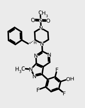 Cn1nc(-c2c(F)cc(F)c(O)c2F)c2cnc(N3CCN(S(C)(=O)=O)C[C@H]3Cc3ccccc3)nc21